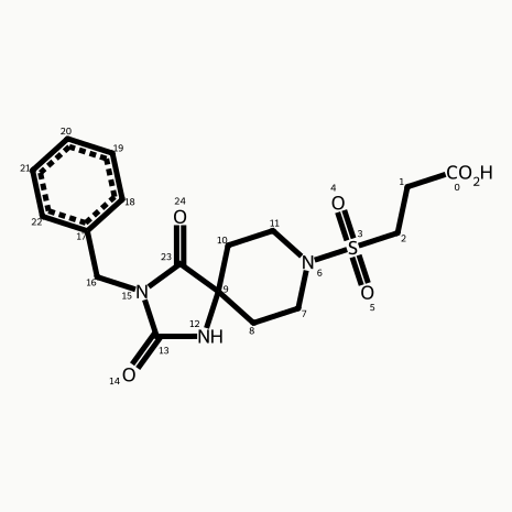 O=C(O)CCS(=O)(=O)N1CCC2(CC1)NC(=O)N(Cc1ccccc1)C2=O